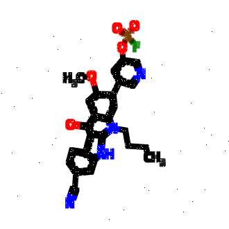 CCCCn1c2cc(-c3cncc(OS(=O)(=O)F)c3)c(OC)cc2c(=O)c2c3ccc(C#N)cc3[nH]c21